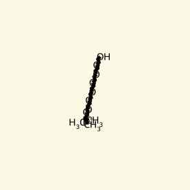 C[N+](C)(C)CCOOCCOCCOCCOCCOCCOCCO